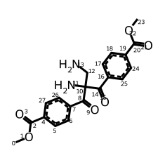 COC(=O)c1ccc(C(=O)C(N)(CN)C(=O)c2ccc(C(=O)OC)cc2)cc1